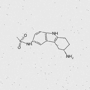 CS(=O)(=O)Nc1ccc2[nH]c3c(c2c1)CC(N)CC3